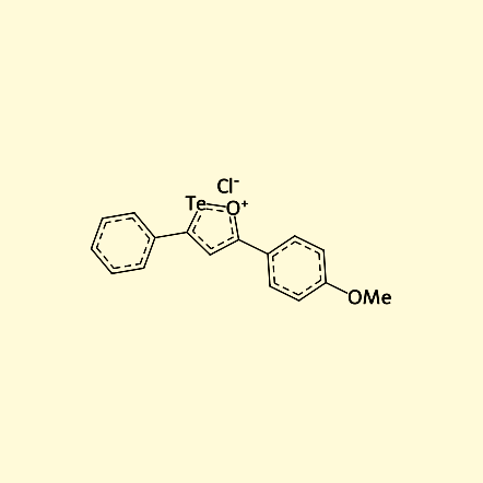 COc1ccc(-c2cc(-c3ccccc3)[te][o+]2)cc1.[Cl-]